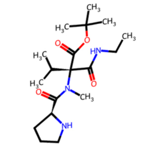 CCNC(=O)[C@](C(=O)OC(C)(C)C)(C(C)C)N(C)C(=O)[C@@H]1CCCN1